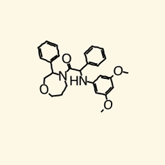 COc1cc(NC(C(=O)N2CCCOCC2c2ccccc2)c2ccccc2)cc(OC)c1